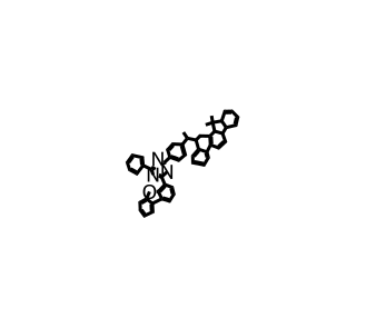 CC(c1ccc(-c2nc(-c3ccccc3)nc(-c3cccc4c3oc3ccccc34)n2)cc1)C1CC2=C(C=CC3C4C=CC=CC4C(C)(C)C23)c2ccccc21